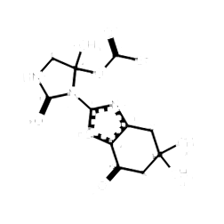 CCC(=O)OC1(C)CNC(=O)N1c1nc2c(s1)C(=O)CC(C)(C)C2